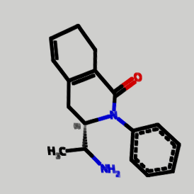 CC(N)[C@@H]1CC2=C(CCC=C2)C(=O)N1c1ccccc1